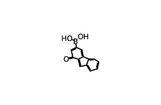 O=C1C=C(B(O)O)C=C2C1=Cc1ccccc12